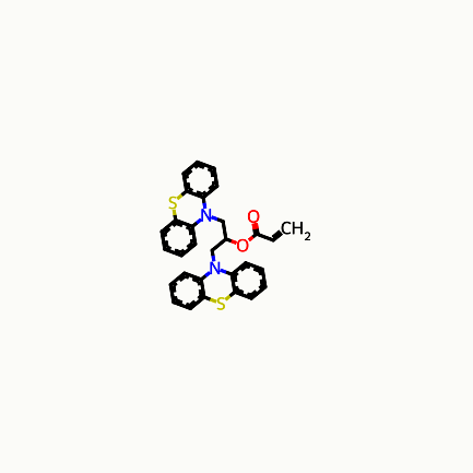 C=CC(=O)OC(CN1c2ccccc2Sc2ccccc21)CN1c2ccccc2Sc2ccccc21